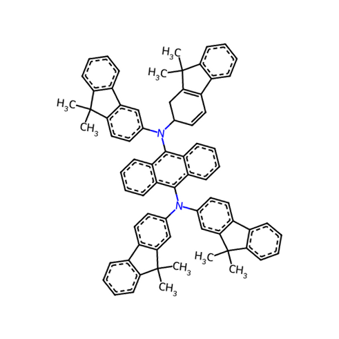 CC1(C)C2=C(C=CC(N(c3ccc4c(c3)-c3ccccc3C4(C)C)c3c4ccccc4c(N(c4ccc5c(c4)C(C)(C)c4ccccc4-5)c4ccc5c(c4)C(C)(C)c4ccccc4-5)c4ccccc34)C2)c2ccccc21